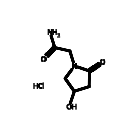 Cl.NC(=O)CN1CC(O)CC1=O